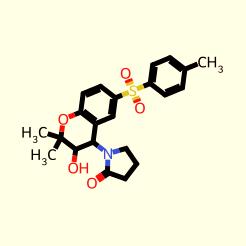 Cc1ccc(S(=O)(=O)c2ccc3c(c2)C(N2CCCC2=O)C(O)C(C)(C)O3)cc1